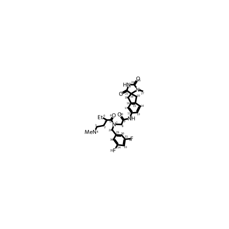 CCC(CCNC)C(=O)N(CC(=O)Nc1ccc2c(c1)CC1(C2)C(=O)NC(=O)N1C)Cc1cc(F)cc(F)c1